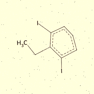 CCc1c(I)cccc1I